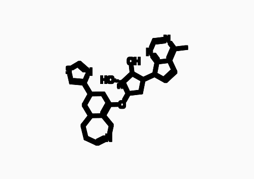 Cc1ncnc2c1C=CC2C1CC(OC2=C3CN=CCCC3CC(c3cscn3)C2)[C@H](O)C1O